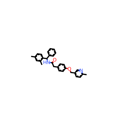 Cc1ccc(C(NC(=O)Cc2ccc(OCc3ccc(C)nc3)cc2)c2ccccc2)c(C)c1